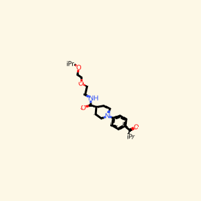 CC(C)OCCOCCNC(=O)C1CCN(c2ccc(C(=O)C(C)C)cc2)CC1